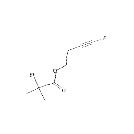 CCC(C)(C)C(=O)OCCC#CF